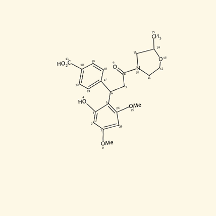 COc1cc(O)c(C(CC(=O)N2CCOC(C)C2)c2ccc(C(=O)O)cc2)c(OC)c1